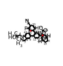 CC(C)(O)Cn1ncc2cc(-c3ccc(C(=O)N4[C@@H]5CC[C@H]4C[C@@H](NC(=O)O)C5)cc3-c3ccc(C#N)c(F)c3)c(F)cc21